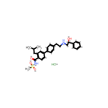 CC(C)Cc1cc(-c2ccc(CCNC[C@@H](O)c3ccccc3)cc2)ccc1C(=O)NS(C)(=O)=O.Cl